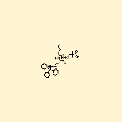 C=CCOC(=O)N[C@@H](CCC(=O)NC(c1ccccc1)(c1ccccc1)c1ccccc1)C(=O)NOCC(C)(C)C(=O)OC